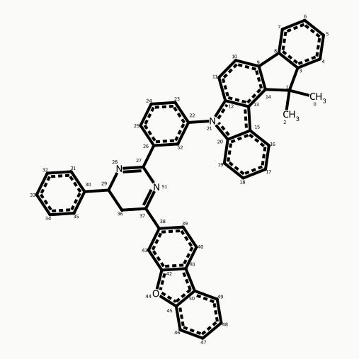 CC1(C)c2ccccc2-c2ccc3c(c21)c1ccccc1n3-c1cccc(C2=NC(c3ccccc3)CC(c3ccc4c(c3)oc3ccccc34)=N2)c1